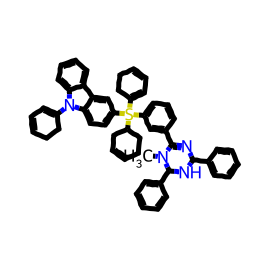 CN1C(c2cccc(S(C3=CC=CCC3)(c3ccc4c(c3)c3ccccc3n4C3=CC=CCC3)C3CC=CCC3)c2)=NC(c2ccccc2)NC1c1ccccc1